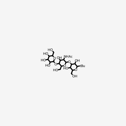 CC(=O)NC1C(OC2C(O)C(CO)OC(C(C)(C)C)C2O)OC(CO)C(OC2OC(CO)C(O)C(O)C2O)C1O